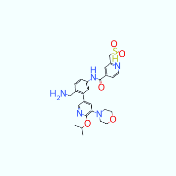 CC(C)Oc1ncc(-c2cc(NC(=O)c3ccnc(C[SH](=O)=O)c3)ccc2CN)cc1N1CCOCC1